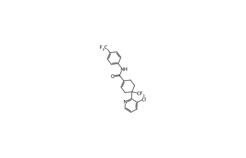 O=C(Nc1ccc(C(F)(F)F)cc1)C1=CCC(c2ncccc2Cl)(C(F)(F)F)CC1